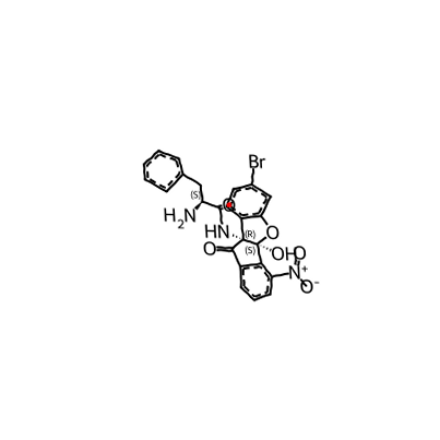 N[C@@H](Cc1ccccc1)C(=O)N[C@@]12C(=O)c3cccc([N+](=O)[O-])c3[C@]1(O)Oc1cc(Br)ccc12